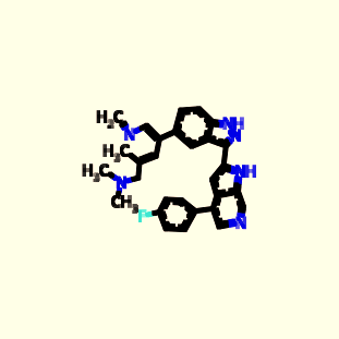 C=N/C=C(\C=C(/C)CN(C)C)c1ccc2[nH]nc(-c3cc4c(-c5ccc(F)cc5)cncc4[nH]3)c2c1